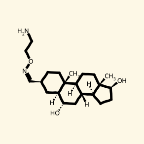 C[C@]12CC[C@H](/C=N\OCCN)C[C@@H]1[C@@H](O)C[C@@H]1[C@@H]2CC[C@]2(C)[C@@H](O)CC[C@@H]12